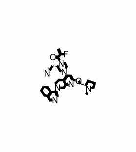 C=C(F)C(=O)N1CCN(c2cc(OC[C@@H]3CCCN3C)nc3c2CCN(c2cncc4c2CCCC4)C3)C[C@@H]1CC#N